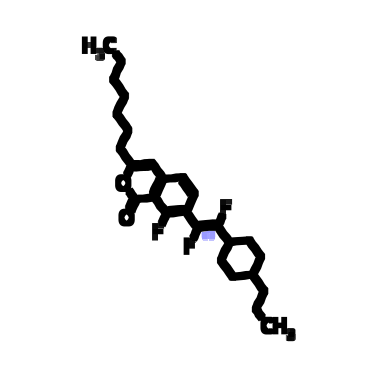 CCCCCCCc1cc2ccc(/C(F)=C(\F)C3CCC(CCC)CC3)c(F)c2c(=O)o1